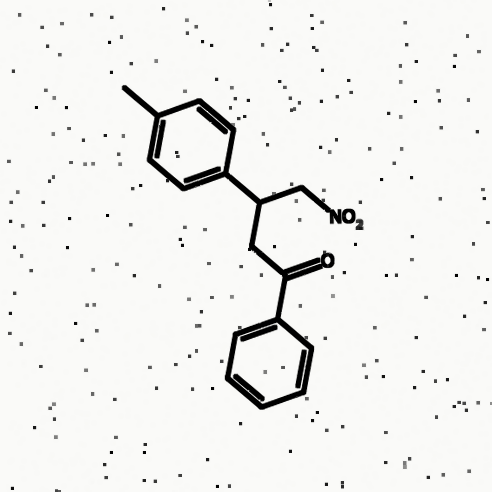 Cc1ccc(C(CC(=O)c2ccccc2)C[N+](=O)[O-])cc1